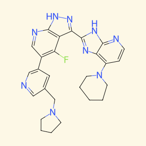 Fc1c(-c2cncc(CN3CCCC3)c2)cnc2[nH]nc(-c3nc4c(N5CCCCC5)ccnc4[nH]3)c12